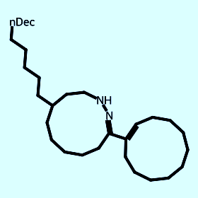 CCCCCCCCCCCCCCCC1CCCCCC(C2=CCCCCCCCCC2)=NNCC1